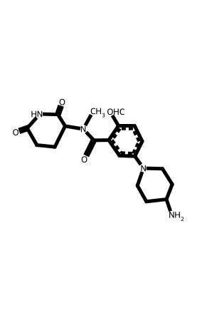 CN(C(=O)c1cc(N2CCC(N)CC2)ccc1C=O)C1CCC(=O)NC1=O